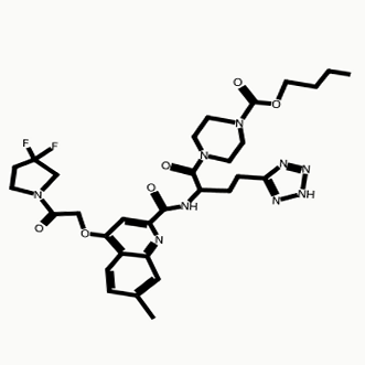 CCCCOC(=O)N1CCN(C(=O)C(CCc2nn[nH]n2)NC(=O)c2cc(OCC(=O)N3CCC(F)(F)C3)c3ccc(C)cc3n2)CC1